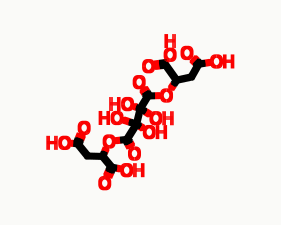 O=C(O)CC(OC(=O)C(O)(O)C(O)(O)C(=O)OC(CC(=O)O)C(=O)O)C(=O)O